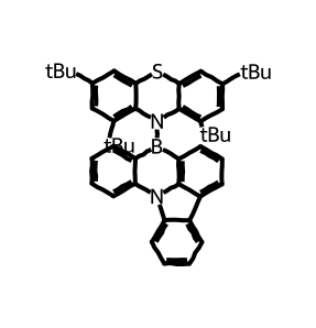 CC(C)(C)c1cc2c(c(C(C)(C)C)c1)N(B1c3ccccc3-n3c4ccccc4c4cccc1c43)c1c(cc(C(C)(C)C)cc1C(C)(C)C)S2